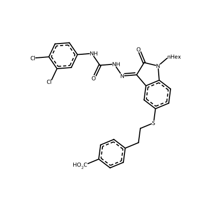 CCCCCCN1C(=O)C(=NNC(=O)Nc2ccc(Cl)c(Cl)c2)c2cc(SCCc3ccc(C(=O)O)cc3)ccc21